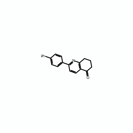 CC(C)c1ccc(-c2ccc3c(n2)CCCC3=O)cc1